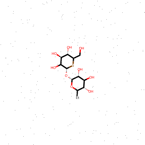 CCC1O[C@H](O[C@H]2SC(CO)[C@@H](O)[C@H](O)C2O)[C@H](O)C(O)[C@@H]1O